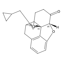 O=C1CCC2(O)C3Cc4cccc5c4[C@@]2(CCN3CC2CC2)[C@H]1O5